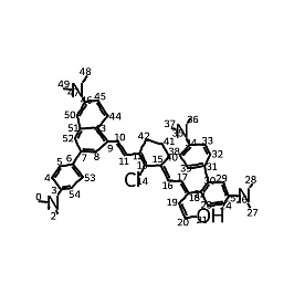 CN(C)c1ccc(-c2cc(/C=C/C3=C(Cl)C(=C/C=C(\C=C/O)c4ccc(N(C)C)cc4-c4ccc(N(C)C)cc4)/CCC3)c3ccc(N(C)C)cc3c2)cc1